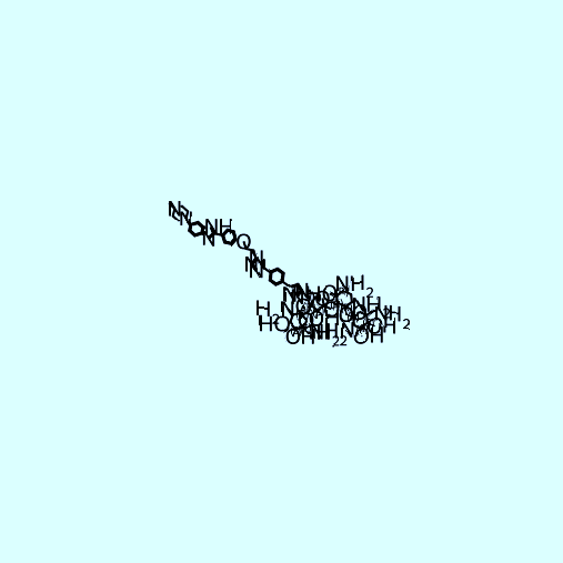 CN1CCN(c2ccc3nc(-c4ccc(OCCn5cc(-c6ccc(-c7cn(C[C@H]8OC(O[C@@H]9C(O)[C@H](N)CC(N)[C@H]9O[C@H]9OC(CN)[C@@H](O)[C@H](O)C9N)[C@@H](O)[C@H]8O[C@H]8O[C@@H](CN)[C@@H](O)C(O)C8N)nn7)cc6)nn5)cc4)[nH]c3c2)CC1